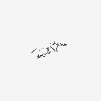 C=CCCC(=NOC)c1ccc(OC)cc1